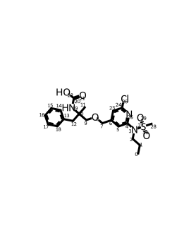 CCCN(c1cc(COCC(C)(Cc2ccccc2)NC(=O)O)cc(Cl)n1)S(C)(=O)=O